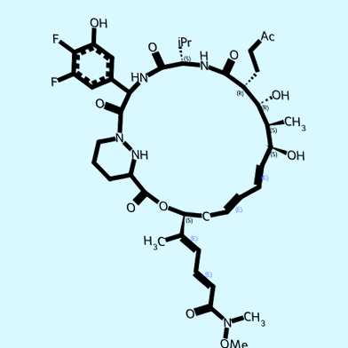 CON(C)C(=O)/C=C/C=C(\C)[C@@H]1C/C=C/C=C/[C@H](O)[C@H](C)[C@@H](O)[C@@H](CCC(C)=O)C(=O)N[C@@H](C(C)C)C(=O)NC(c2cc(O)c(F)c(F)c2)C(=O)N2CCCC(N2)C(=O)O1